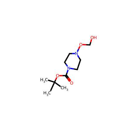 CC(C)(C)OC(=O)N1CCN(OCO)CC1